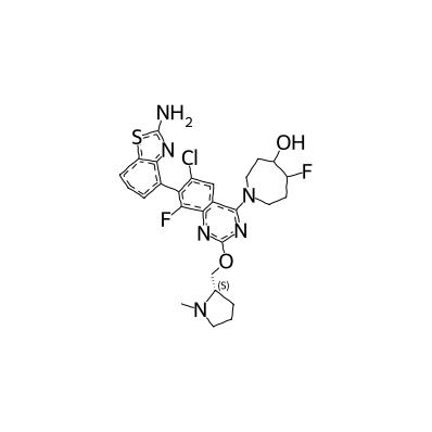 CN1CCC[C@H]1COc1nc(N2CCC(O)C(F)CC2)c2cc(Cl)c(-c3cccc4sc(N)nc34)c(F)c2n1